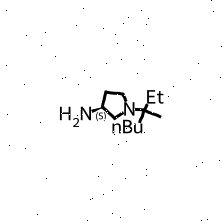 CCCCC(C)(CC)N1CC[C@H](N)C1